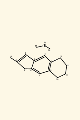 CC1=Cc2cc3c(cc2[CH]1)CCCC3.[CH3][Ti][CH3]